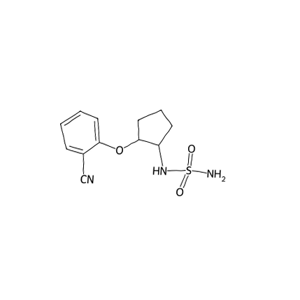 N#Cc1ccccc1OC1CCCC1NS(N)(=O)=O